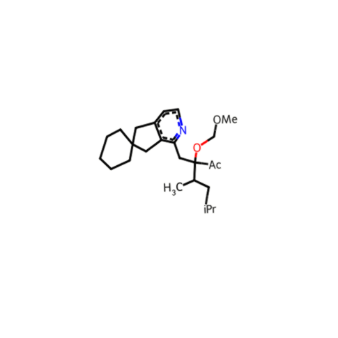 COCOC(Cc1nccc2c1CC1(CCCCC1)C2)(C(C)=O)C(C)CC(C)C